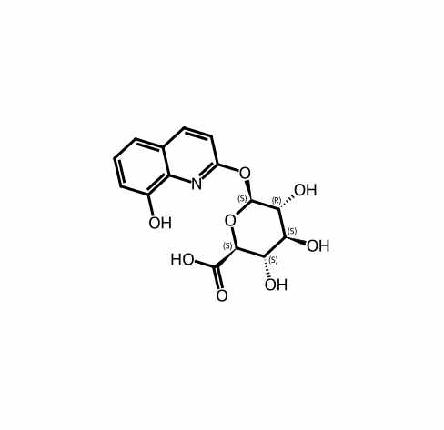 O=C(O)[C@H]1O[C@@H](Oc2ccc3cccc(O)c3n2)[C@H](O)[C@@H](O)[C@@H]1O